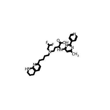 Cc1cc(NC(CCN(CCCCc2ccc3c(n2)NCCC3)CC(F)F)C(=O)O)nc(-c2ccncc2)n1